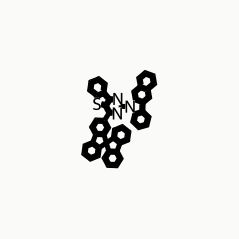 c1ccc2c(c1)-c1ccccc1C21c2ccccc2-c2ccc(-c3nc(-n4c5ccccc5c5cc6ccccc6cc54)nc4c3sc3ccccc34)cc21